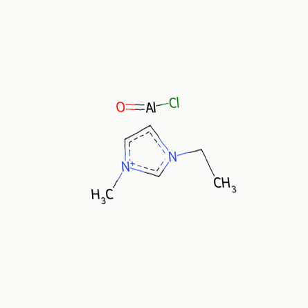 CCn1cc[n+](C)c1.[O]=[Al][Cl]